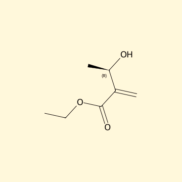 C=C(C(=O)OCC)[C@@H](C)O